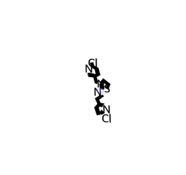 Clc1ccc(CC/N=C2\SCCN2Cc2ccc(Cl)nc2)cn1